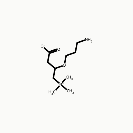 C[N+](C)(C)CC(CC(=O)[O-])OCCCN